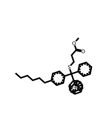 CCCCCCc1ccc(C(SCCC(=O)OC)(c2ccccc2)[C]23[CH]4[CH]5[CH]6[CH]2[Fe]56432789[CH]3[CH]2[CH]7[CH]8[CH]39)cc1